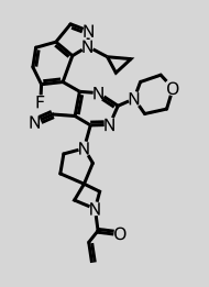 C=CC(=O)N1CC2(CCN(c3nc(N4CCOCC4)nc(-c4c(F)ccc5cnn(C6CC6)c45)c3C#N)C2)C1